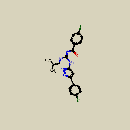 CC(C)CN/C(=N/C(=O)c1ccc(F)cc1)Nc1cc(-c2ccc(Cl)cc2)n[nH]1